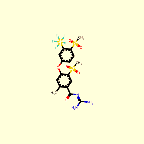 Cc1cc(Oc2ccc(S(C)(=O)=O)c(S(F)(F)(F)(F)F)c2)c(S(C)(=O)=O)cc1C(=O)N=C(N)N